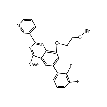 CNc1nc(-c2cccnc2)nc2c(OCCOC(C)C)cc(-c3cccc(F)c3F)cc12